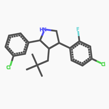 CC(C)(C)CC1C(c2ccc(Cl)cc2F)CNC1c1cccc(Cl)c1